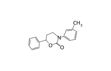 Cc1cccc(N2CCC(c3ccccc3)OC2=O)c1